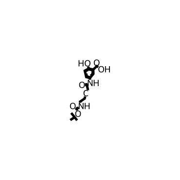 CC(C)(C)OC(=O)NCCCCC(=O)Nc1ccc(O)c(C(=O)O)c1